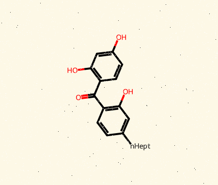 CCCCCCCc1ccc(C(=O)c2ccc(O)cc2O)c(O)c1